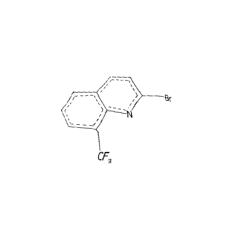 FC(F)(F)c1cccc2ccc(Br)nc12